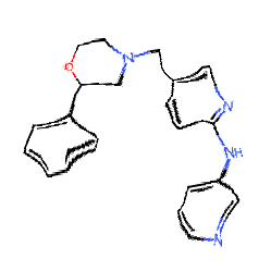 c1ccc(C2CN(Cc3ccc(Nc4cccnc4)nc3)CCO2)cc1